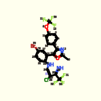 Cc1nc(-c2ccc(OC(F)(F)F)cc2)c(-c2cc(Br)ccc2N/C=C(/Cl)C(=N)C(F)(F)F)o1